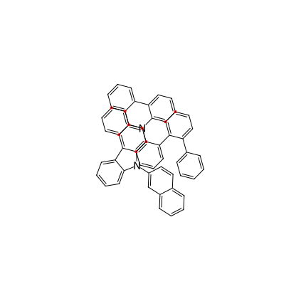 c1ccc(-c2ccccc2-c2ccccc2N(c2ccccc2)c2ccccc2-c2ccccc2-c2ccc3c(c2)c2ccccc2n3-c2ccc3ccccc3c2)cc1